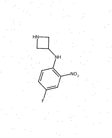 O=[N+]([O-])c1cc(F)ccc1NC1CNC1